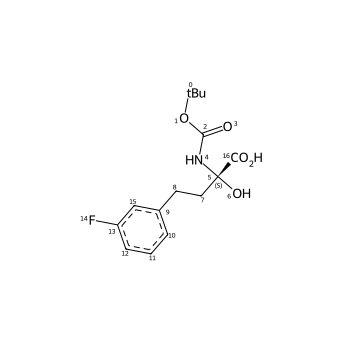 CC(C)(C)OC(=O)N[C@](O)(CCc1cccc(F)c1)C(=O)O